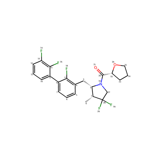 C[C@@H]1[C@H](Cc2cccc(-c3cccc(F)c3F)c2F)N(C(=O)[C@H]2CCCO2)CC1(F)F